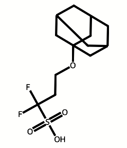 O=S(=O)(O)C(F)(F)CCOC12CC3CC(CC(C3)C1)C2